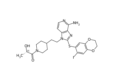 C[C@H](O)C(=O)N1CCC(CCn2c(Sc3cc4c(cc3I)OCCO4)nc3c(N)nccc32)CC1